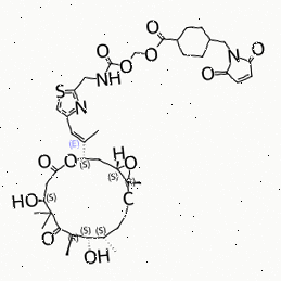 C/C(=C\c1csc(CNC(=O)OCOC(=O)C2CCC(CN3C(=O)C=CC3=O)CC2)n1)[C@@H]1C[C@@H]2O[C@]2(C)CCC[C@H](C)[C@H](O)[C@@H](C)C(=O)C(C)(C)[C@@H](O)CC(=O)O1